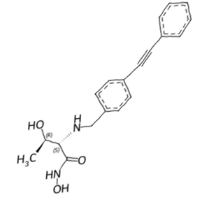 C[C@@H](O)[C@H](NCc1ccc(C#Cc2ccccc2)cc1)C(=O)NO